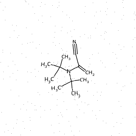 C=C(C#N)N(C(C)(C)C)C(C)(C)C